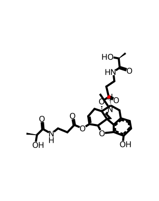 C[C@H](O)C(=O)NCCC(=O)OC1=CC[C@@]2(OC(=O)CCNC(=O)[C@H](C)O)[C@H]3Cc4ccc(O)c5c4C2(CCN3C)C1O5